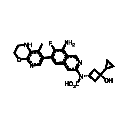 Cc1c(-c2cc3cc(N(C(=O)O)[C@H]4C[C@@](O)(C5CC5)C4)ncc3c(N)c2F)cnc2c1NCCO2